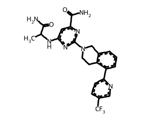 CC(Nc1cc(C(N)=O)nc(N2CCc3c(cccc3-c3ccc(C(F)(F)F)cn3)C2)n1)C(N)=O